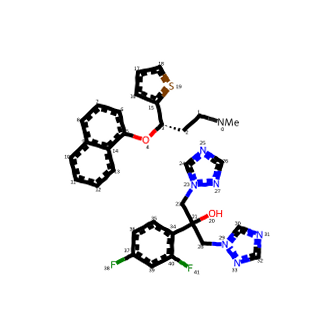 CNCC[C@H](Oc1cccc2ccccc12)c1cccs1.OC(Cn1cncn1)(Cn1cncn1)c1ccc(F)cc1F